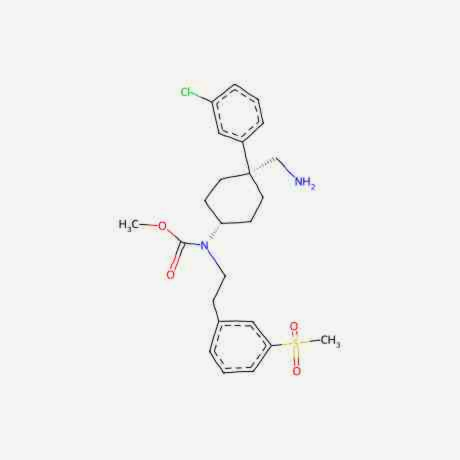 COC(=O)N(CCc1cccc(S(C)(=O)=O)c1)[C@H]1CC[C@](CN)(c2cccc(Cl)c2)CC1